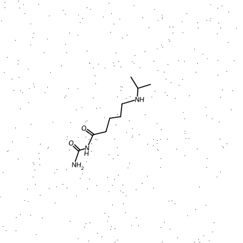 CC(C)NCCCCC(=O)NC(N)=O